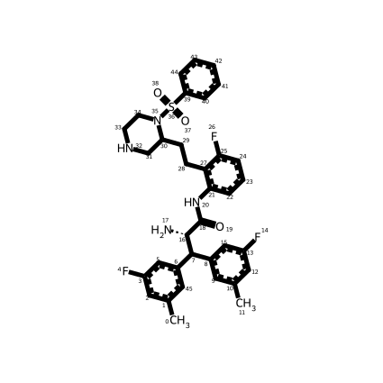 Cc1cc(F)cc(C(c2cc(C)cc(F)c2)[C@H](N)C(=O)Nc2cccc(F)c2CCC2CNCCN2S(=O)(=O)c2ccccc2)c1